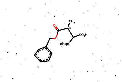 CCCCCCCC(C(=O)O)[C@H](C)C(=O)OCc1ccccc1